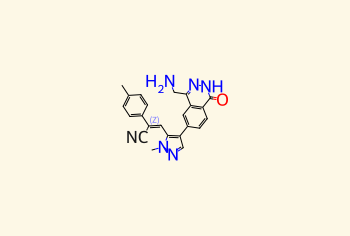 Cc1ccc(/C(C#N)=C/c2c(-c3ccc4c(=O)[nH]nc(CN)c4c3)cnn2C)cc1